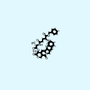 CC[C@@]1(OC(=O)[C@@H](NC(=O)CCC(N)C(=O)OCc2ccccc2)C(C)C)C(=O)OCc2c1cc1n(c2=O)Cc2cc3ccccc3nc2-1